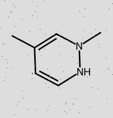 CC1=CN(C)NC=[C]1